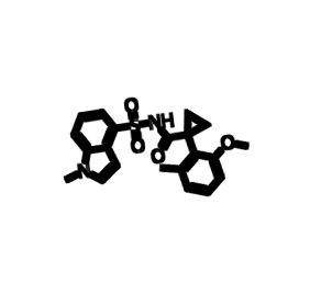 COc1cccc(C)c1C1(C(=O)NS(=O)(=O)c2cccc3c2ccn3C)CC1